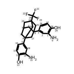 Nc1cc(C23CC4CC(c5ccc(O)c(N)c5)(C2)CC(C(F)(F)F)(C4)C3)ccc1O